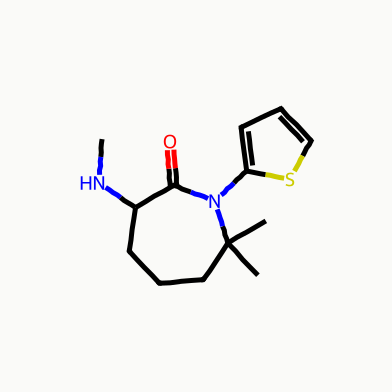 CNC1CCCC(C)(C)N(c2cccs2)C1=O